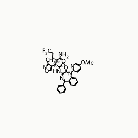 COc1ccc(N2C(=O)[C@@H](NC(=O)[C@@H](c3conc3C)[C@@H](CCC(F)(F)F)C(N)=O)N=C(c3ccccc3)c3ccccc32)nc1